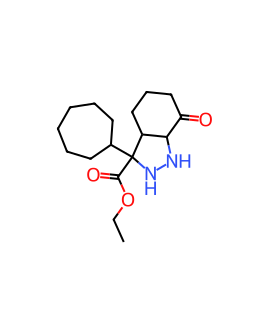 CCOC(=O)C1(C2CCCCCC2)NNC2C(=O)CCCC21